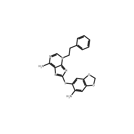 Nc1cc2c(cc1Sc1nc3c(N)ncn(CCc4ccccc4)c-3n1)OCO2